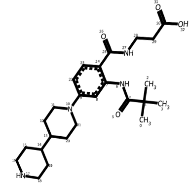 CC(C)(C)C(=O)Nc1cc(N2CCC(C3CCNCC3)CC2)ccc1C(=O)NCCC(=O)O